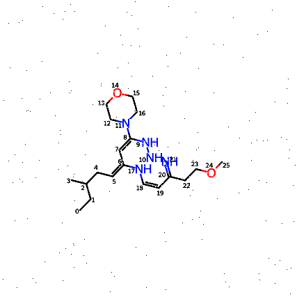 CCC(C)C/C=C(\C=C(/NN)N1CCOCC1)N/C=C\C(=N)CCOC